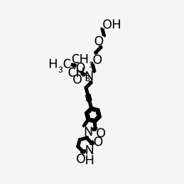 CC(C)(C)OC(=O)N(CCC#Cc1ccc2c(c1)CN(C1CCC(=O)NC1=O)C2=O)CCOCCOCCO